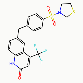 O=c1cc(C(F)(F)F)c2cc(Cc3ccc(S(=O)(=O)N4CCSC4)cc3)ccc2[nH]1